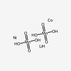 [Co].[LiH].[Ni].[O]=[Mn](=[O])([OH])[OH].[O]=[Mn](=[O])([OH])[OH]